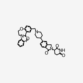 O=C1CCC(N2Cc3cc(C4CCN(Cc5ccc6c(c5)C(=O)N(c5ccccc5F)CCO6)CC4)ccc3C2=O)C(=O)N1